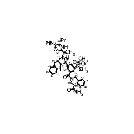 CCNC(=O)[C@@H](NC(=O)[C@H](C)NC[C@H](Cc1ccccc1)NC(=O)c1cc(C(=O)N(CCC(N)=O)Cc2ccccc2)cc(N(C)S(C)(=O)=O)c1)C(C)C